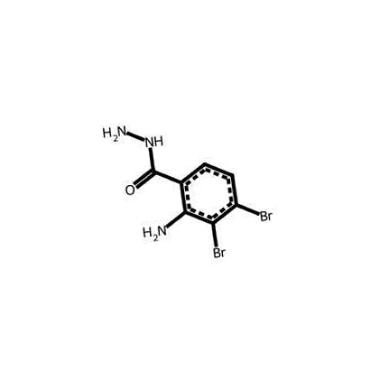 NNC(=O)c1ccc(Br)c(Br)c1N